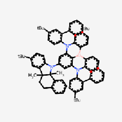 CC(C)(C)c1ccc(N2c3ccccc3B3c4ccc(C(C)(C)C)cc4N(c4ccc(C(C)(C)C)cc4-c4ccccc4)c4cc(N5c6ccc(C(C)(C)C)cc6C6(C)CCc7ccccc7C56C)cc2c43)c(-c2ccccc2)c1